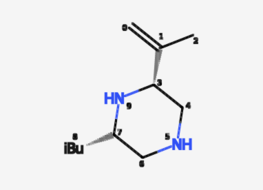 C=C(C)[C@@H]1CNCC([C@@H](C)CC)N1